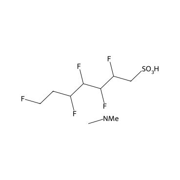 CNC.O=S(=O)(O)CC(F)C(F)C(F)C(F)CCF